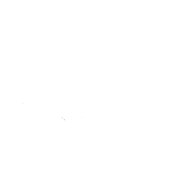 O=C(O)CCN1CCC[C@H]1COc1ccc(Cc2ccccc2)cc1